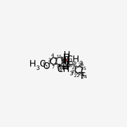 COc1ccc2c(c1)[C@@]1(C)CCN(C)[C@H](C2)[C@@H]1NCCc1ccc(F)cc1